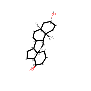 C[C@]12CC[C@@H](O)C[C@@H]1CCC1C3CCC4C(O)CCC[C@@]43CCC12